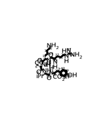 CC(C)[C@H](NC(=O)[C@H](CC(=O)O)NC(=O)[C@H](CCCCN)NC(=O)[C@H](N)CCCNC(=N)N)C(=O)N[C@H](Cc1ccc(O)cc1)C(=O)O